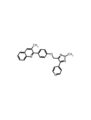 Cc1cc2ccccc2nc1-c1ccc(OCc2nn(C)nc2-c2ccncc2)cc1